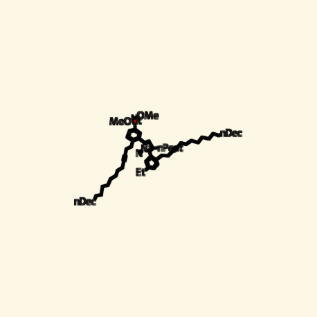 CCCCCCCCCCCCCCCCCCC#CCCc1ccc(CC)cc1C1=CC(CCCCC)=C(c2cc(CC)ccc2CCC#CCCCCCCCCCCCCCCCCCC)[N+]1=[N-].C[O][Ni][O]C